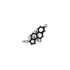 C[C@@H]1CC2=CC(=O)CCC2[C@H]2CC[C@]3(C)[C@@H](O)CC[C@H]3[C@H]12